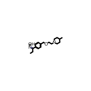 CC/C(=N/O)c1ccc(COCCN2CCC(C)CC2)cc1